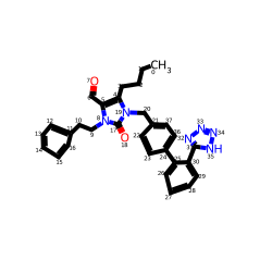 CCCCc1c(C=O)n(CCc2ccccc2)c(=O)n1Cc1ccc(-c2ccccc2-c2nnn[nH]2)cc1